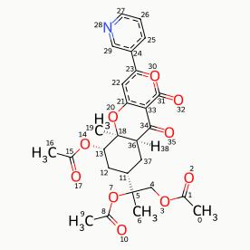 CC(=O)OCC(C)(OC(C)=O)[C@@H]1C[C@H](OC(C)=O)[C@@]2(C)Oc3cc(-c4cccnc4)oc(=O)c3C(=O)[C@H]2C1